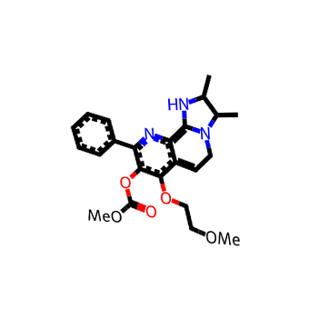 COCCOc1c(OC(=O)OC)c(-c2ccccc2)nc2c1=CCN1C=2NC(C)C1C